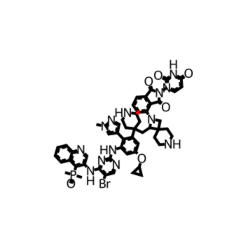 Cn1cc(-c2c(Nc3ncc(Br)c(Nc4cnc5ccccc5c4P(C)(C)=O)n3)cc(OC3CC3)cc2C2(CC3N(c4cccc5c4C(=O)N(n4ccc(=O)[nH]c4=O)C5=O)CC34CCNCC4)CCNCC2)cn1